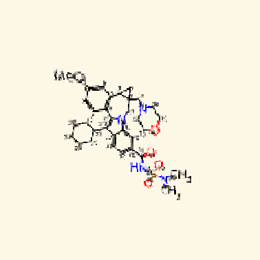 COc1ccc2c(c1)C1CC1(CN1CCOCC1)Cn1c-2c(C2CCCCC2)c2ccc(C(=O)NS(=O)(=O)N(C)C)cc21